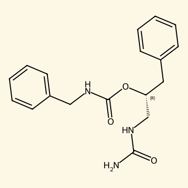 NC(=O)NC[C@@H](Cc1ccccc1)OC(=O)NCc1ccccc1